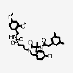 COC1=CC(OC)=C(CNS(=O)(=O)CCCN(CC2=CCC(Cl)C=C2)C(=O)C2(C)CCN2C(=O)CC2=CC(C)=CC(C)C2)CC1